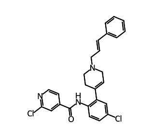 O=C(Nc1ccc(Cl)cc1C1=CCN(CC=Cc2ccccc2)CC1)c1ccnc(Cl)c1